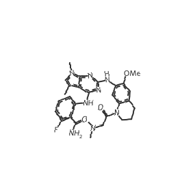 COc1cc2c(cc1Nc1nc(Nc3cccc(F)c3C(N)=O)c3c(C)cn(C)c3n1)N(C(=O)CN(C)C)CCC2